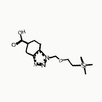 C[Si](C)(C)CCOCn1nnc2c1CCC(C(=O)O)C2